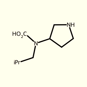 CC(C)CN(C(=O)O)C1CCNC1